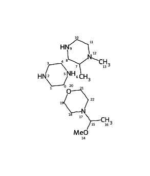 C1CNCCN1.CC1CNCCN1C.COC(C)N1CCOCC1